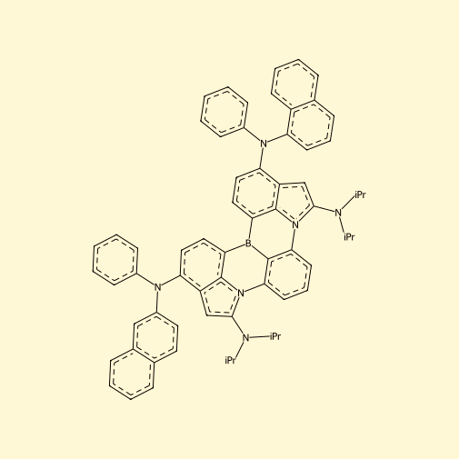 CC(C)N(c1cc2c(N(c3ccccc3)c3ccc4ccccc4c3)ccc3c2n1-c1cccc2c1B3c1ccc(N(c3ccccc3)c3cccc4ccccc34)c3cc(N(C(C)C)C(C)C)n-2c13)C(C)C